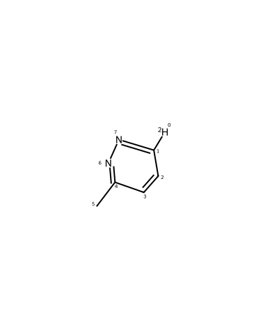 [2H]c1ccc(C)nn1